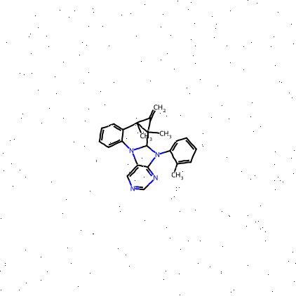 C=C1C2(C)c3ccccc3N3c4cncnc4N(c4ccccc4C)C3C12C